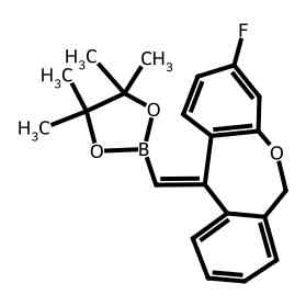 CC1(C)OB(C=C2c3ccccc3COc3cc(F)ccc32)OC1(C)C